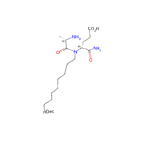 CCCCCCCCCCCCCCCCCCN(C(=O)[C@H](C)N)[C@H](CCC(=O)O)C(N)=O